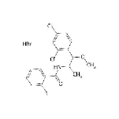 Br.COC(c1ccc(Cl)cc1Cl)C(C)NC(=O)c1ccccc1I